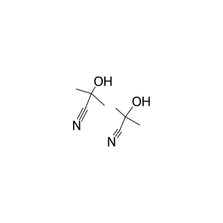 CC(C)(O)C#N.CC(C)(O)C#N